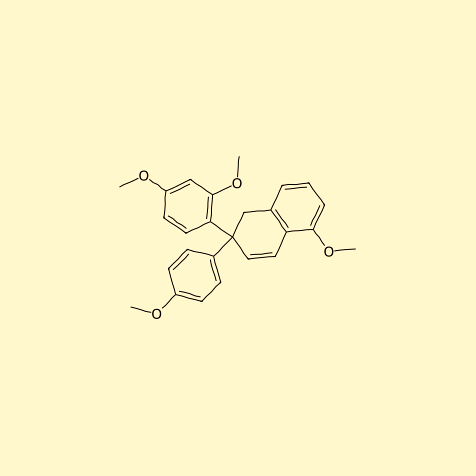 COc1ccc(C2(c3ccc(OC)cc3OC)C=Cc3c(cccc3OC)C2)cc1